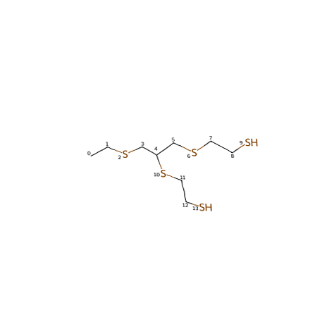 CCSCC(CSCCS)SCCS